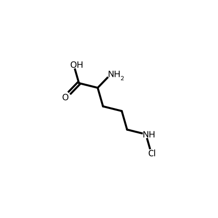 NC(CCCNCl)C(=O)O